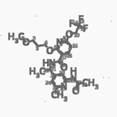 COCCCOc1nc(OCC(F)(F)F)ccc1C(=O)NC(C)c1cc(C)nc(NC(C)=O)c1